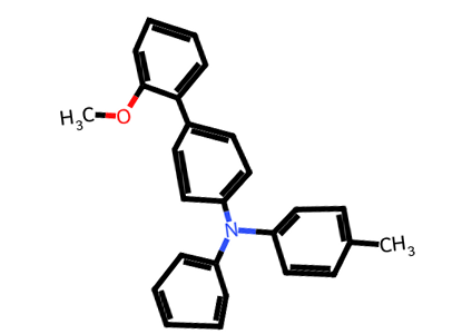 COc1ccccc1-c1ccc(N(c2ccccc2)c2ccc(C)cc2)cc1